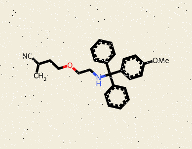 [CH2]C(C#N)CCOCCNC(c1ccccc1)(c1ccccc1)c1ccc(OC)cc1